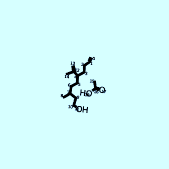 C=CCCC(CCC(C)CCO)C(=C)C.CC(=O)O